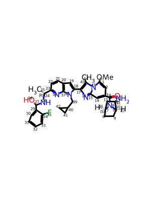 COc1cc(C(=O)N2[C@H]3CC[C@@H]2[C@H](N)C3)cc2nc(-c3cc4ccc([C@@H](C)NC(O)c5ccccc5F)nc4n3CC3CC3)c(C)n12